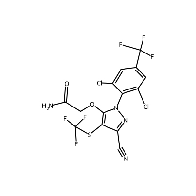 N#Cc1nn(-c2c(Cl)cc(C(F)(F)F)cc2Cl)c(OCC(N)=O)c1SC(F)(F)F